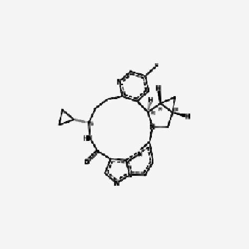 O=C1N[C@H](C2CC2)CCc2ncc(F)cc2[C@H]2[C@@H]3C[C@@H]3CN2c2ccn3ncc1c3n2